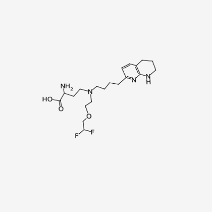 NC(CCN(CCCCc1ccc2c(n1)NCCC2)CCOCC(F)F)C(=O)O